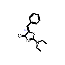 CCN(CC)C1=NC(=O)/C(=C/c2ccccc2)S1